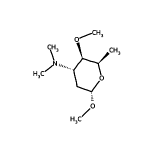 CO[C@@H]1C[C@H](N(C)C)[C@@H](OC)[C@@H](C)O1